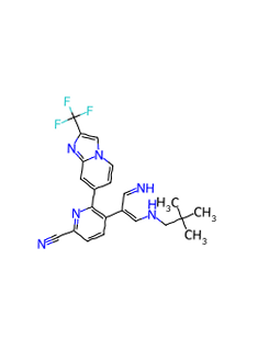 CC(C)(C)CN/C=C(\C=N)c1ccc(C#N)nc1-c1ccn2cc(C(F)(F)F)nc2c1